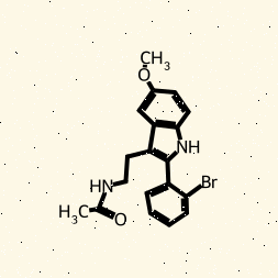 COc1ccc2[nH]c(-c3ccccc3Br)c(CCNC(C)=O)c2c1